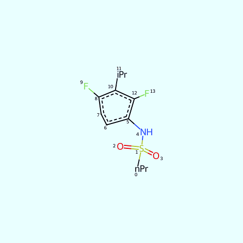 CCCS(=O)(=O)Nc1ccc(F)c(C(C)C)c1F